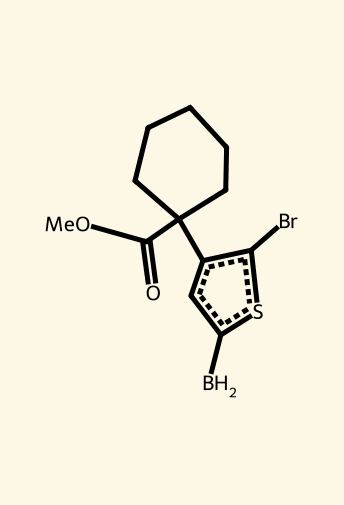 Bc1cc(C2(C(=O)OC)CCCCC2)c(Br)s1